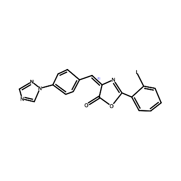 O=C1OC(c2ccccc2I)=N/C1=C/c1ccc(-n2cncn2)cc1